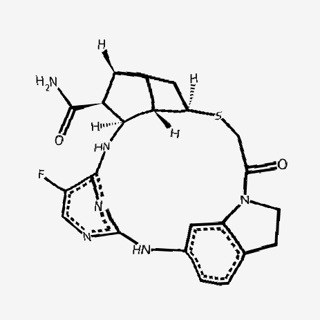 NC(=O)[C@H]1[C@H]2C[C@H]3[C@H]1Nc1nc(ncc1F)Nc1ccc4c(c1)N(CC4)C(=O)CS[C@@H]3C2